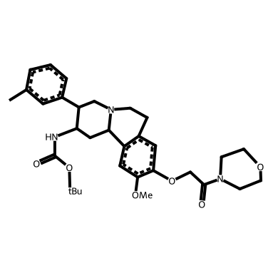 COc1cc2c(cc1OCC(=O)N1CCOCC1)CCN1CC(c3cccc(C)c3)C(NC(=O)OC(C)(C)C)CC21